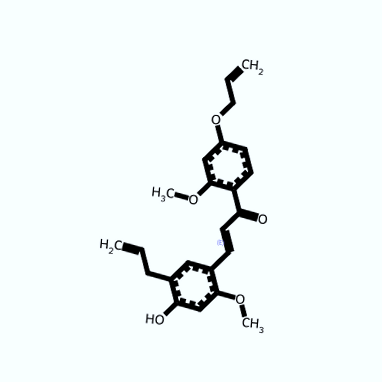 C=CCOc1ccc(C(=O)/C=C/c2cc(CC=C)c(O)cc2OC)c(OC)c1